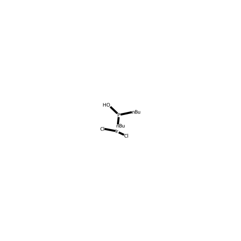 CCCCP(O)CCCC.[Cl][Ir][Cl]